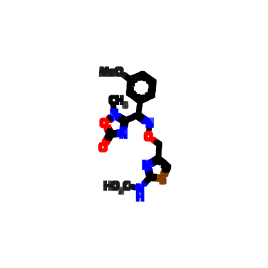 COc1cccc(/C(=N/OCc2csc(NC(=O)O)n2)c2nc(=O)on2C)c1